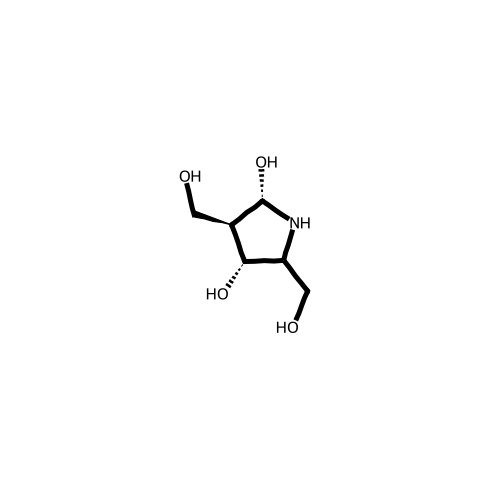 OCC1N[C@@H](O)[C@H](CO)[C@H]1O